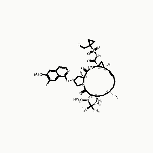 COc1cc2ccnc(O[C@@H]3C[C@H]4C(=O)N[C@]5(C(=O)NS(=O)(=O)C6(CF)CC6)C[C@H]5C=CCC[C@H](C)C[C@@H](C)[C@H](N(C(=O)O)C(C)(C)C(F)(F)F)C(=O)N4C3)c2cc1F